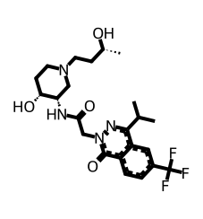 CC(C)c1nn(CC(=O)N[C@H]2CN(CC[C@@H](C)O)CC[C@H]2O)c(=O)c2ccc(C(F)(F)F)cc12